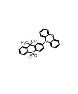 CC1(C)c2ccccc2S(=O)(=O)c2ccc(N3c4ccccc4Sc4ccccc43)cc21